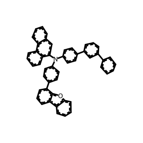 c1ccc(-c2cccc(-c3ccc(N(c4ccc(-c5cccc6c5oc5ccccc56)cc4)c4cc5ccccc5c5ccccc45)cc3)c2)cc1